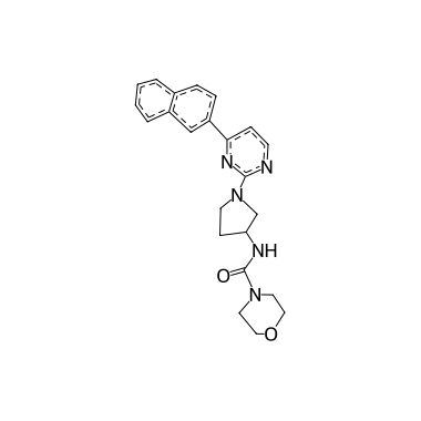 O=C(NC1CCN(c2nccc(-c3ccc4ccccc4c3)n2)C1)N1CCOCC1